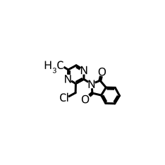 Cc1cnc(N2C(=O)c3ccccc3C2=O)c(CCl)n1